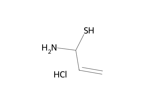 C=CC(N)S.Cl